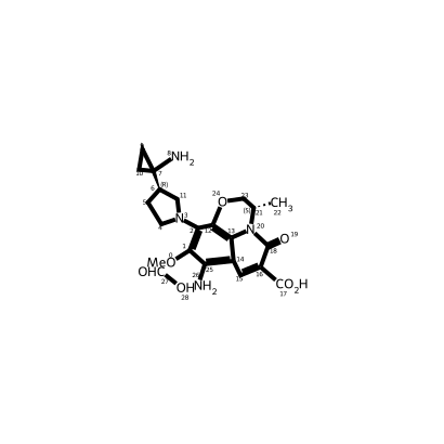 COc1c(N2CC[C@@H](C3(N)CC3)C2)c2c3c(cc(C(=O)O)c(=O)n3[C@@H](C)CO2)c1N.O=CO